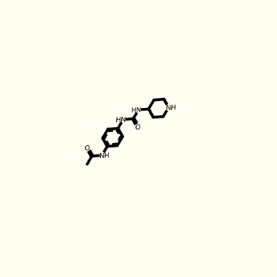 CC(=O)Nc1ccc(NC(=O)NC2CCNCC2)cc1